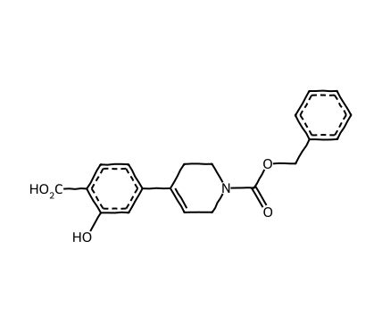 O=C(O)c1ccc(C2=CCN(C(=O)OCc3ccccc3)CC2)cc1O